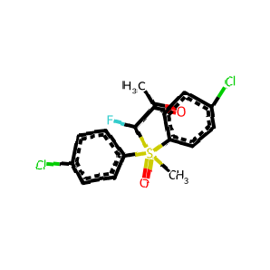 CC(=O)C(F)S(C)(=O)(c1ccc(Cl)cc1)c1ccc(Cl)cc1